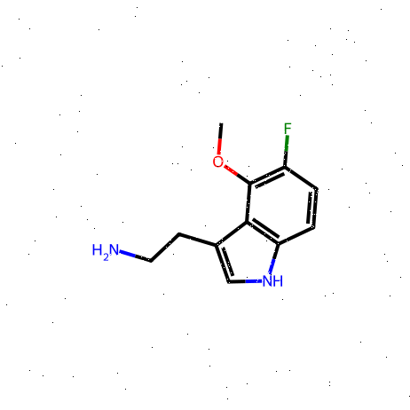 COc1c(F)ccc2[nH]cc(CCN)c12